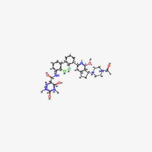 COc1nc(-c2cccc(-c3cccc(NC(=O)c4nn(C)c(=O)n(C)c4=O)c3Cl)c2Cl)cc2c1C(N1CCN(C(C)=O)CC1)CC2